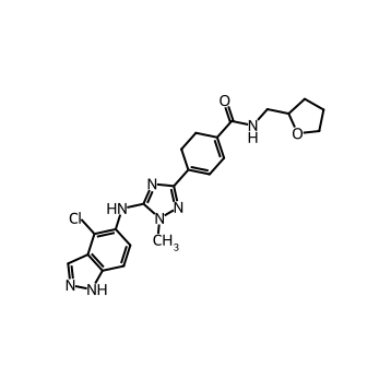 Cn1nc(C2=CC=C(C(=O)NCC3CCCO3)CC2)nc1Nc1ccc2[nH]ncc2c1Cl